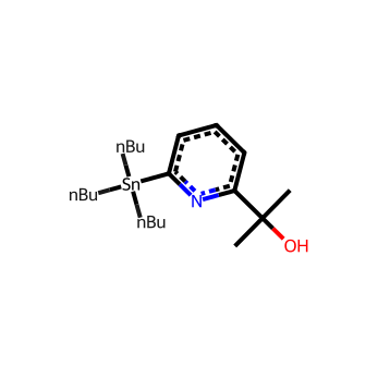 CCC[CH2][Sn]([CH2]CCC)([CH2]CCC)[c]1cccc(C(C)(C)O)n1